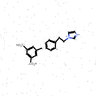 Cc1cc(C(=O)O)cc(C(=O)O)c1.c1ccc(CCn2ccnc2)cc1